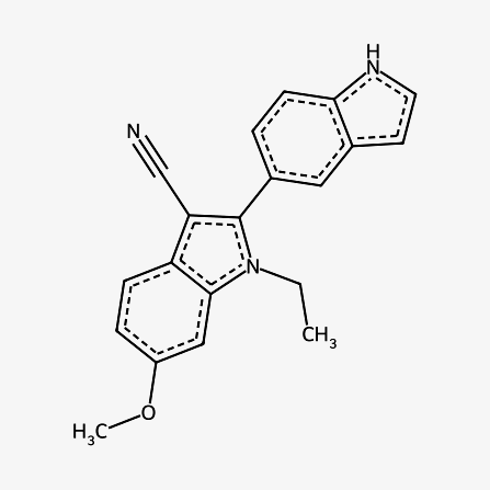 CCn1c(-c2ccc3[nH]ccc3c2)c(C#N)c2ccc(OC)cc21